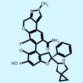 Cl.Cn1cc2c(n1)COc1c-2cc(C(N)=O)c(-c2c(Cl)c(F)cc3c2C[C@](c2ccccc2)([C@@H]2CC4(CC4)CN2)O3)c1F